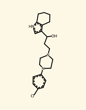 OC(CCN1CCN(c2ccc(Cl)cc2)CC1)c1c[nH]c2c1CCCC2